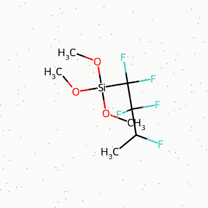 CO[Si](OC)(OC)C(F)(F)C(F)(F)C(C)F